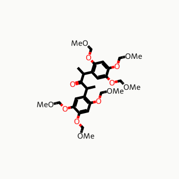 COCOc1cc(OCOC)c(C(C)C(=O)C(C)c2cc(OCOC)c(OCOC)cc2OCOC)cc1OCOC